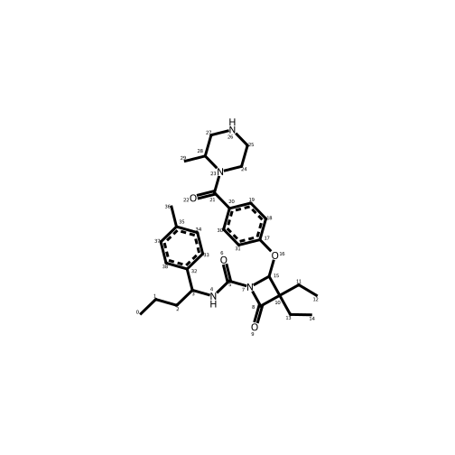 CCCC(NC(=O)N1C(=O)C(CC)(CC)C1Oc1ccc(C(=O)N2CCNCC2C)cc1)c1ccc(C)cc1